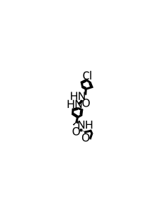 C[C@H](NC(=O)[C@@H]1CCCO1)c1ccc(NC(=O)NCc2ccc(Cl)cc2)cc1